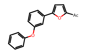 CC(=O)c1ccc(-c2cccc(Oc3ccccc3)c2)o1